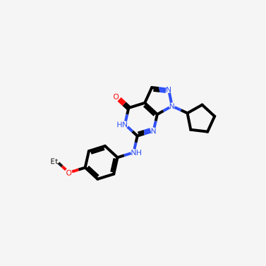 CCOc1ccc(Nc2nc3c(cnn3C3CCCC3)c(=O)[nH]2)cc1